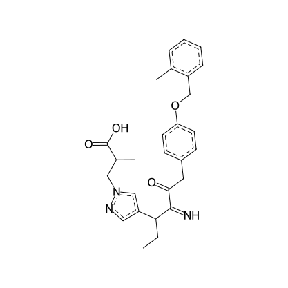 CCC(C(=N)C(=O)Cc1ccc(OCc2ccccc2C)cc1)c1cnn(CC(C)C(=O)O)c1